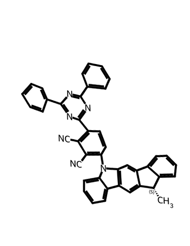 C[C@H]1c2ccccc2-c2cc3c(cc21)c1ccccc1n3-c1ccc(-c2nc(-c3ccccc3)nc(-c3ccccc3)n2)c(C#N)c1C#N